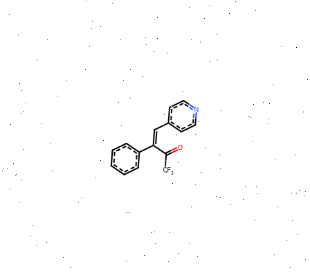 O=C(/C(=C\c1ccncc1)c1ccccc1)C(F)(F)F